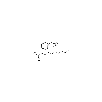 CCCCCCCCCC(=O)[O-].C[N+](C)(C)Cc1ccccc1